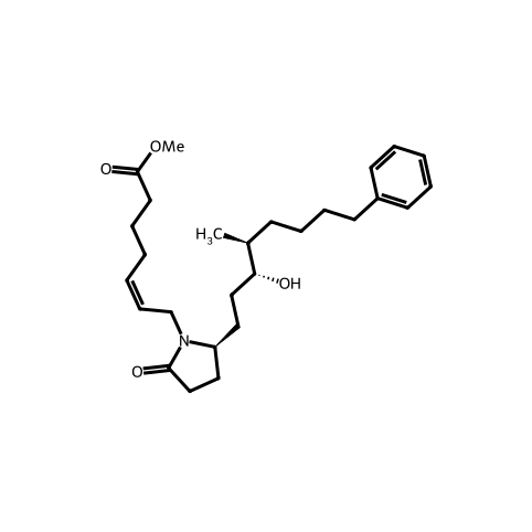 COC(=O)CCC/C=C\CN1C(=O)CC[C@@H]1CC[C@@H](O)[C@@H](C)CCCCc1ccccc1